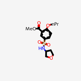 CCCOc1ccc(S(=O)(=O)NC2CCOC2)cc1C(=O)OC